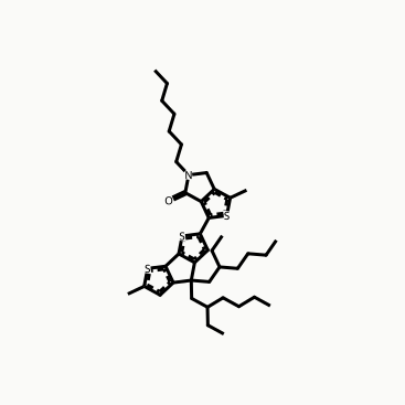 CCCCCCCN1Cc2c(C)sc(-c3cc4c(s3)-c3sc(C)cc3C4(CC(CC)CCCC)CC(CC)CCCC)c2C1=O